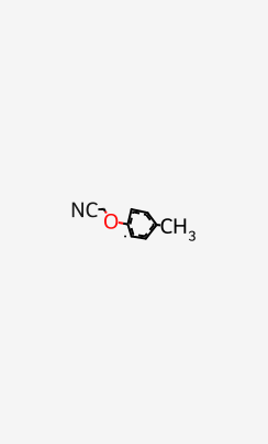 Cc1c[c]c(OCC#N)cc1